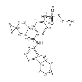 O=C(Nc1cccc2c1cc1n2CCOC1)c1ccc(NS(=O)(=O)CCO)cc1N1CCC2(CC1)CC2